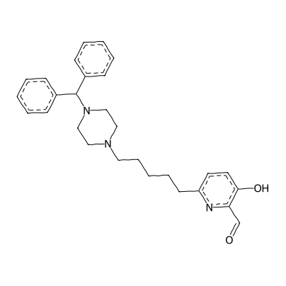 O=Cc1nc(CCCCCN2CCN(C(c3ccccc3)c3ccccc3)CC2)ccc1O